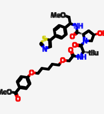 COCC(NC(=O)[C@@H]1C[C@@H](O)CN1C(=O)[C@@H](NC(=O)COCCCCCOc1ccc(C(=O)OC)cc1)C(C)(C)C)c1ccc(-c2cncs2)cc1